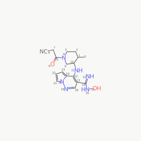 CC1CCN(C(=O)CC#N)CC1Nc1c(C(=N)NO)cnn2cccc12